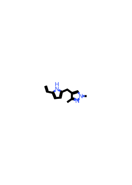 C=Cc1ccc(Cc2cn(C)nc2C)[nH]1